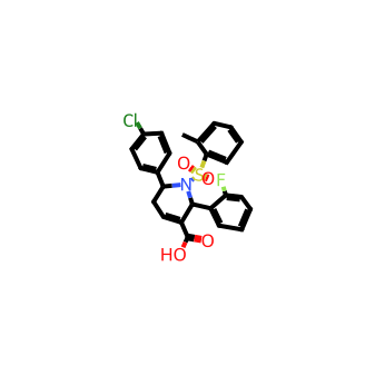 Cc1ccccc1S(=O)(=O)N1C(c2ccc(Cl)cc2)CC=C(C(=O)O)C1c1ccccc1F